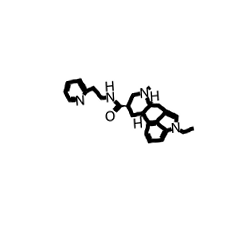 CCn1cc2c3c(cccc31)[C@H]1C[C@@H](C(=O)NCCc3ccccn3)CN(C)[C@@H]1C2